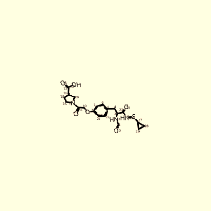 O=CNC(Cc1ccc(OCC(=O)N2CCC(C(=O)O)C2)cc1)C(=O)NSC1CC1